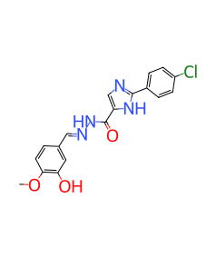 COc1ccc(/C=N/NC(=O)c2cnc(-c3ccc(Cl)cc3)[nH]2)cc1O